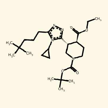 CCOC(=O)[C@H]1CCN(C(=O)OC(C)(C)C)C[C@@H]1c1nnc(CCCC(C)(C)C)n1C1CC1